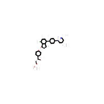 COC(=O)C[C@@H]1COc2cc(O[C@@H]3CCc4c(-c5c(C)cc(-c6cc(C)cc(C)n6)cc5C)ccc(F)c43)ccc21